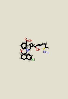 CC(SN)[C@H](C)C/C=C/C(O)C1CCC1CN1CC2(CCCc3cc(Cl)ccc32)COc2ccc(C(=O)O)cc21